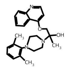 Cc1cccc(C)c1N1CCN(C(C)(O)COc2ccnc3ccccc23)CC1